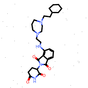 O=C1CCC(N2C(=O)c3cccc(NCCN4CCCN(CCC5CCCCC5)CC4)c3C2=O)C(=O)N1